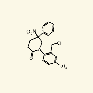 Cc1ccc(N2CC(c3ccccc3)([N+](=O)[O-])CCC2=O)c(CCl)c1